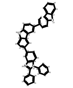 C/C=C(\C=C/c1cc2ccccc2o1)c1ccc2oc3ccc(-c4ccc5c(c4)nc(-c4ccccc4)n5-c4ccccc4)cc3c2c1